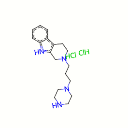 Cl.Cl.c1ccc2c3c([nH]c2c1)CN(CCCN1CCNCC1)CC3